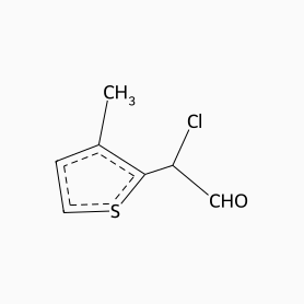 Cc1ccsc1C(Cl)C=O